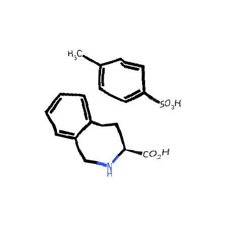 Cc1ccc(S(=O)(=O)O)cc1.O=C(O)[C@@H]1Cc2ccccc2CN1